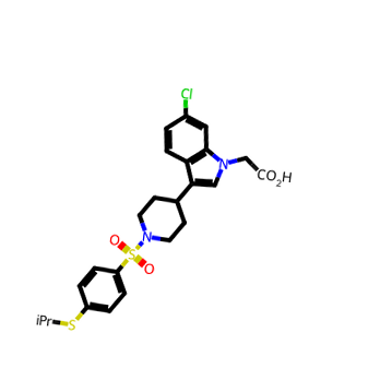 CC(C)Sc1ccc(S(=O)(=O)N2CCC(c3cn(CC(=O)O)c4cc(Cl)ccc34)CC2)cc1